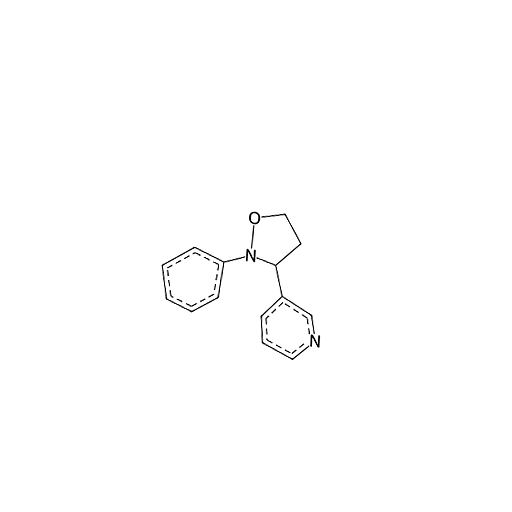 c1ccc(N2OCCC2c2cccnc2)cc1